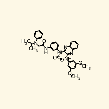 COc1cc(Nc2nc3ccccc3nc2N(c2cccc(NC(=O)CN(c3ccccc3)C(C)C)c2)[SH](=O)=O)cc(OC)c1